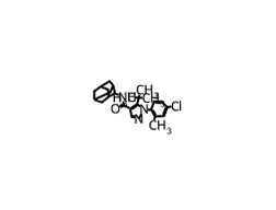 Cc1cc(Cl)ccc1-n1ncc(C(=O)NC2C3CC4CC(C3)CC2C4)c1C(C)(C)C